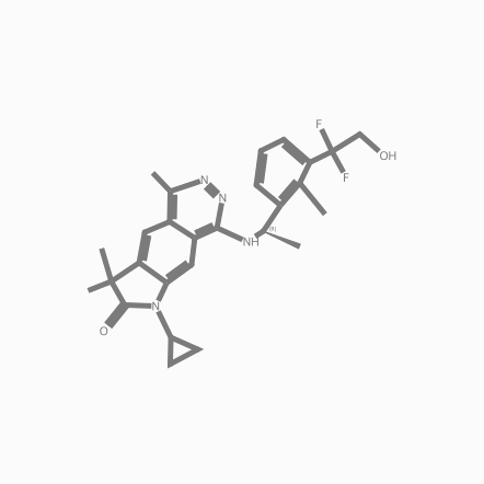 Cc1c([C@@H](C)Nc2nnc(C)c3cc4c(cc23)N(C2CC2)C(=O)C4(C)C)cccc1C(F)(F)CO